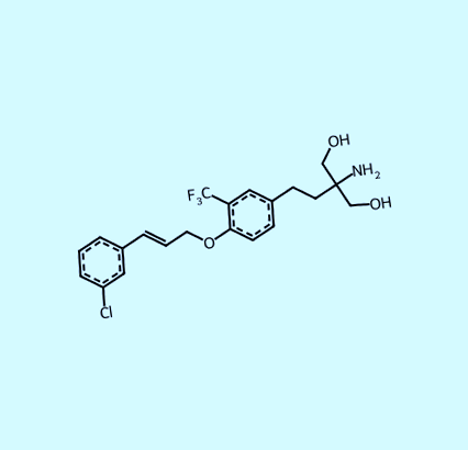 NC(CO)(CO)CCc1ccc(OC/C=C/c2cccc(Cl)c2)c(C(F)(F)F)c1